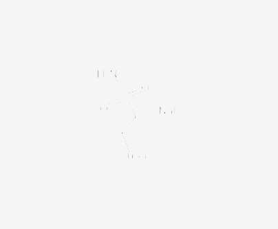 CCCCCCS(N)(=O)=O.[NaH]